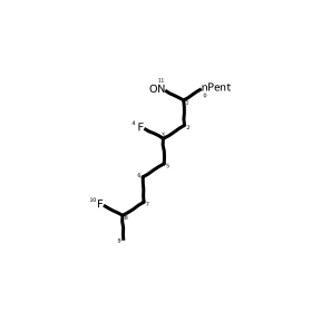 CCCCCC(CC(F)CCCC(C)F)N=O